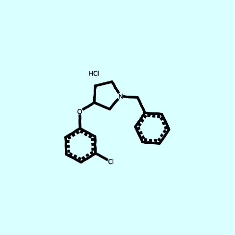 Cl.Clc1cccc(OC2CCN(Cc3ccccc3)C2)c1